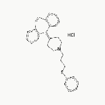 C1=Cc2ccccc2C(=C2CCN(CCCSc3ccccc3)CC2)c2ccccc21.Cl